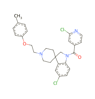 Cc1ccc(OCCN2CCC3(CC2)CN(C(=O)c2ccnc(Cl)c2)c2ccc(Cl)cc23)cc1